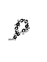 CNc1cc(=O)n(-c2ccnc3c2cc(CN2CCC(c4c(F)cc(C(=O)N5CCC(CN6CCN(Cc7ccc8c(c7)n(C)c(=O)n8C7CCC(=O)NC7=O)CC6)CC5)cc4F)CC2)n3C)cc1F